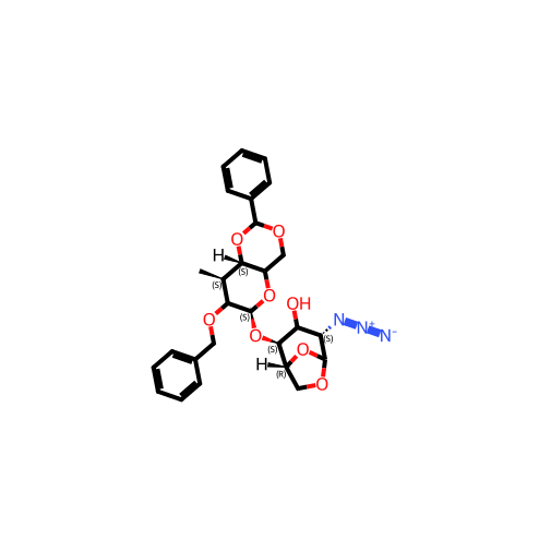 C[C@@H]1C(OCc2ccccc2)[C@H](O[C@H]2C(O)[C@H](N=[N+]=[N-])C3OC[C@H]2O3)OC2COC(c3ccccc3)O[C@H]21